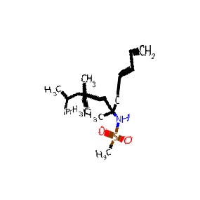 C=C/C=C/CC(C)(CC(C)(C)C(C)C(C)C)NS(C)(=O)=O